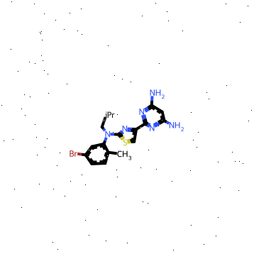 Cc1ccc(Br)cc1N(CC(C)C)c1nc(-c2nc(N)cc(N)n2)cs1